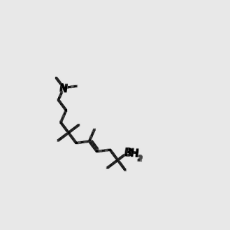 BC(C)(C)C/C=C(\C)CC(C)(C)CCCN(C)C